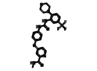 CNC(=O)c1cc(Oc2ccc(NC(=O)Nc3cc(C(F)(F)F)ccc3N3CCOCC3)cc2)ccn1